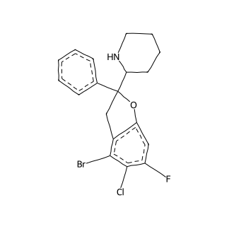 Fc1cc2c(c(Br)c1Cl)CC(c1ccccc1)(C1CCCCN1)O2